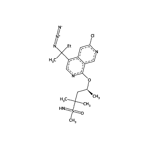 CCC(C)(N=[N+]=[N-])c1cnc(O[C@@H](C)CC(C)(C)S(C)(=N)=O)c2cnc(Cl)cc12